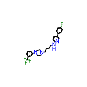 Fc1ccc(-c2ccc(NCCCCN3CCN(c4cccc(C(F)(F)F)c4)CC3)nc2)cc1